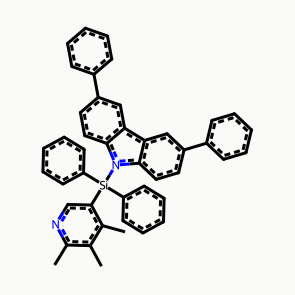 Cc1ncc([Si](c2ccccc2)(c2ccccc2)n2c3ccc(-c4ccccc4)cc3c3cc(-c4ccccc4)ccc32)c(C)c1C